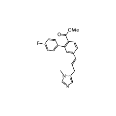 COC(=O)c1ccc(C=CCc2cncn2C)cc1-c1ccc(F)cc1